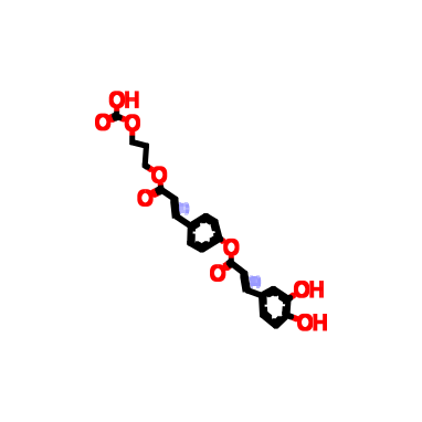 O=C(O)OCCCOC(=O)/C=C/c1ccc(OC(=O)/C=C/c2ccc(O)c(O)c2)cc1